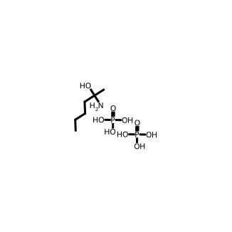 CCCCC(C)(N)O.O=P(O)(O)O.O=P(O)(O)O